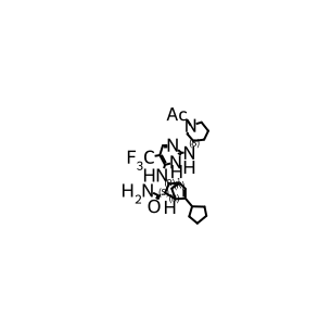 CC(=O)N1CCC[C@H](Nc2ncc(C(F)(F)F)c(N[C@H]3[C@@H](C(N)=O)[C@H]4C[C@@H]3C=C4C3CCCC3)n2)C1